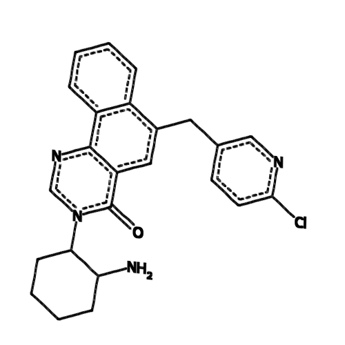 NC1CCCCC1n1cnc2c(cc(Cc3ccc(Cl)nc3)c3ccccc32)c1=O